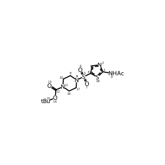 CC(=O)Nc1ncc(S(=O)(=O)N2CCN(C(=O)OC(C)(C)C)CC2)s1